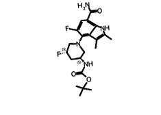 Cc1[nH]c2c(C(N)=O)cc(F)c(N3C[C@@H](F)C[C@H](NC(=O)OC(C)(C)C)C3)c2c1C